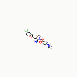 CC(=O)N1CCc2cc(S(=O)(=O)N3CCSc4c(-c5cc6cc(Cl)ccc6o5)cncc43)ccc21